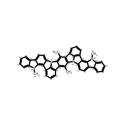 Cc1c2c3cccc4c5c6c(ccc5n(c2c(C)c2c5cccc7c8c9c(ccc8n(c12)c57)c1ccccc1n9C)c34)c1ccccc1n6C